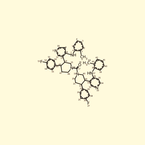 Cc1ccccc1Nc1ccncc1C1CN(C(=O)N2CCC(c3ccc(F)cc3)C(c3cnccc3Nc3ccccc3C)C2)CCC1c1ccc(F)cc1